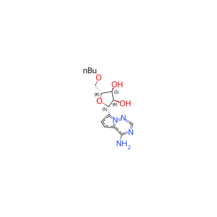 CCCCOC[C@H]1O[C@@H](c2ccc3c(N)ncnn23)[C@H](O)[C@@H]1O